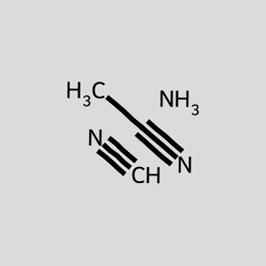 C#N.CC#N.N